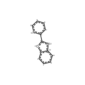 [c]1ccc2oc(-c3ccccn3)nc2c1